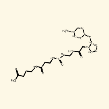 [13CH3][15N]1C[13CH2]N([13CH2][13CH]2[13CH2][13CH2][13CH2][15N]2CC(=O)[15NH]C[13CH2][13C](=O)NCCC(=O)NCCCC(=O)O)[13CH2][13CH2]1